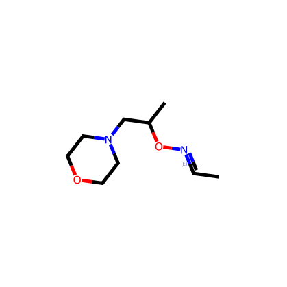 C/C=N/OC(C)CN1CCOCC1